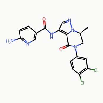 C[C@H]1CN(c2ccc(Cl)c(Cl)c2)C(=O)c2c(NC(=O)c3ccc(N)nc3)cnn21